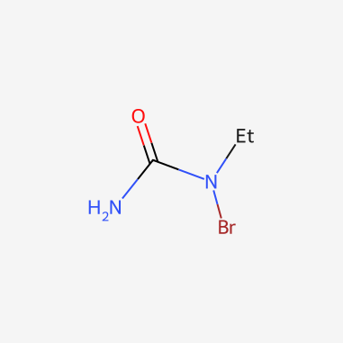 CCN(Br)C(N)=O